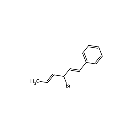 CC=CC(Br)C=Cc1ccccc1